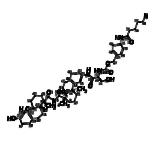 C[C@]1(C(=O)NC(=O)[C@@]2(C)CCC[C@]3(C)c4cc(NC(=O)[C@H](CO)NC(=O)OCc5ccc(NC(=O)CCCCN)cc5)ccc4CC[C@@H]23)CCC[C@]2(C)c3cc(O)ccc3CC[C@@H]12